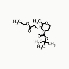 CCOC(=O)CC[C@@H]1[C@@H](C)OCCN1C(=O)OC(C)(C)C